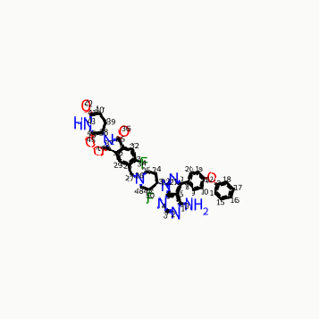 Nc1ncnc2c1c(-c1ccc(Oc3ccccc3)cc1)nn2[C@H]1CCN(Cc2cc3c(cc2F)C(=O)N(C2CCC(=O)NC2=O)C3=O)C[C@H]1F